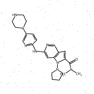 CN(C)C(=O)c1cc2cnc(Nc3ccc(N4CCNCC4)cn3)cc2n1N1CCCC1